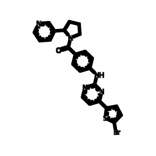 O=C(c1ccc(Nc2nccc(-c3ccc(Br)s3)n2)cc1)N1CCCC1c1cccnc1